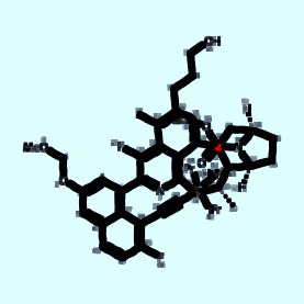 COCOc1cc(-c2nc3c4c(nc(CCCO)c(C)c4c2F)N2C[C@H]4CC[C@@H]([C@H]2[C@H](C)O3)N4C(=O)OC(C)(C)C)c2c(C#C[Si](C(C)C)(C(C)C)C(C)C)c(F)ccc2c1